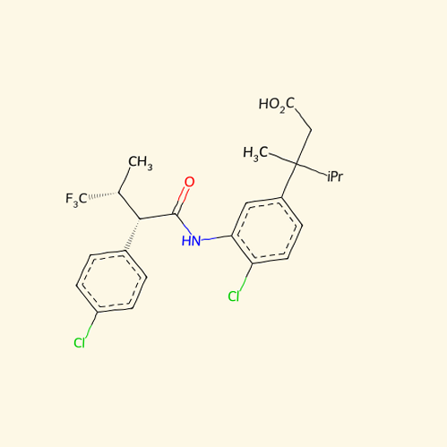 CC(C)C(C)(CC(=O)O)c1ccc(Cl)c(NC(=O)[C@H](c2ccc(Cl)cc2)[C@@H](C)C(F)(F)F)c1